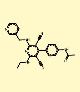 CCNc1nc(NCc2cccnc2)c(C#N)c(-c2ccc(NC(C)=O)cc2)c1C#N